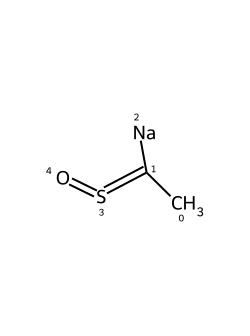 C[C]([Na])=S=O